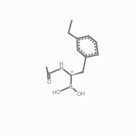 CCc1cccc(C[C@H](NC(C)=O)B(O)O)c1